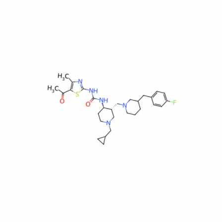 CC(=O)c1sc(NC(=O)N[C@@H]2CCN(CC3CC3)C[C@H]2CN2CCCC(Cc3ccc(F)cc3)C2)nc1C